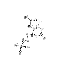 CC(C)C(=O)Nc1c(F)cc(F)cc1CCOS(=O)(=O)C(C)C